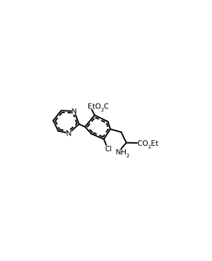 CCOC(=O)c1cc(CC(N)C(=O)OCC)c(Cl)cc1-c1ncccn1